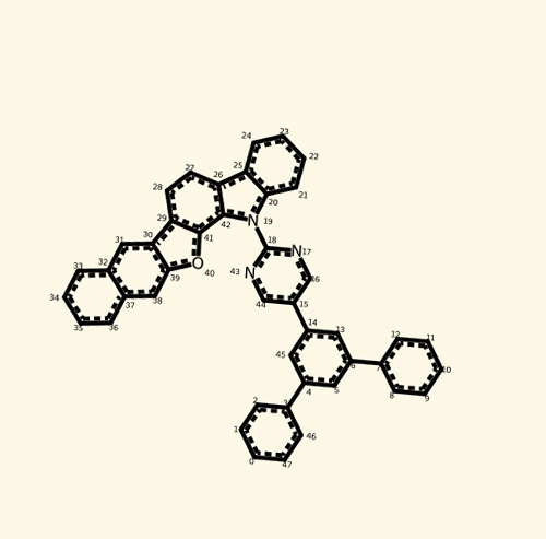 c1ccc(-c2cc(-c3ccccc3)cc(-c3cnc(-n4c5ccccc5c5ccc6c7cc8ccccc8cc7oc6c54)nc3)c2)cc1